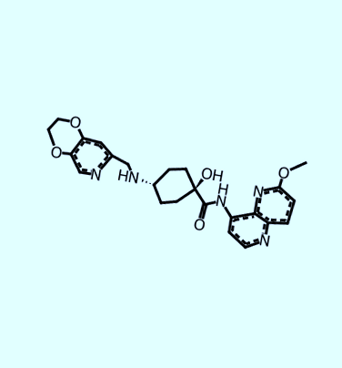 COc1ccc2nccc(NC(=O)[C@]3(O)CC[C@H](NCc4cc5c(cn4)OCCO5)CC3)c2n1